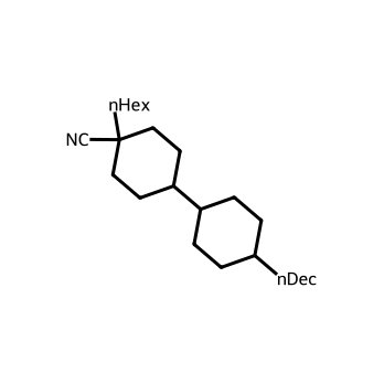 CCCCCCCCCCC1CCC(C2CCC(C#N)(CCCCCC)CC2)CC1